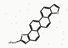 CCCCCc1cc2ccc3c4ccc5c(ccc6ccoc65)c4ccc3c2o1